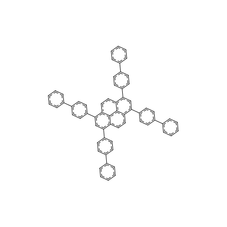 c1ccc(-c2ccc(-c3cc(-c4ccc(-c5ccccc5)cc4)c4ccc5c(-c6ccc(-c7ccccc7)cc6)cc(-c6ccc(-c7ccccc7)cc6)c6ccc3c4c65)cc2)cc1